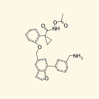 CC(=O)ONC(=O)C1(c2ccccc2OCc2cc(-c3cccc(CN)c3)c3occc3c2)CC1